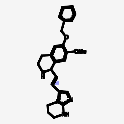 COc1cc2c(cc1OCc1ccccc1)CCNC2/C=C/c1cnc2n1CCCN2